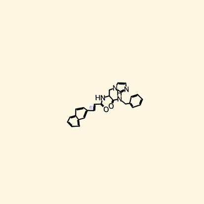 O=C(/C=C/c1ccc2ccccc2c1)NC(Cn1ccnc1)C(=O)NCc1ccccc1